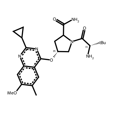 COc1cc2nc(C3CC3)nc(O[C@@H]3CC(C(N)=O)N(C(=O)[C@@H](N)C(C)(C)C)C3)c2cc1C